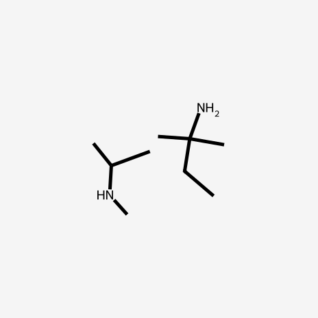 CCC(C)(C)N.CNC(C)C